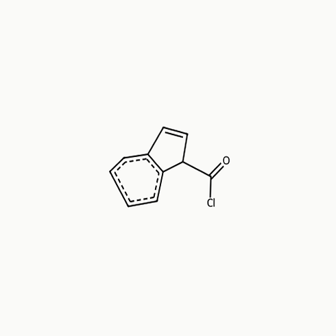 O=C(Cl)C1C=Cc2ccccc21